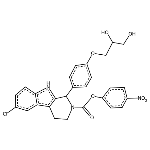 O=C(Oc1ccc([N+](=O)[O-])cc1)N1CCc2c([nH]c3ccc(Cl)cc23)C1c1ccc(OCC(O)CO)cc1